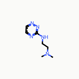 CN(C)CCNc1nccnn1